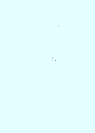 CC(=O)NC1(c2ccccc2)COC1